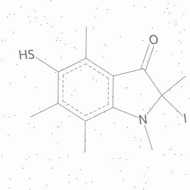 Cc1c(C)c2c(c(C)c1S)C(=O)C(C)(I)N2C